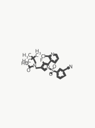 CC(C)(C)CN(Cc1cn(S(=O)(=O)c2cccc(C#N)c2)c(-c2cccnc2Cl)c1F)C(=O)O